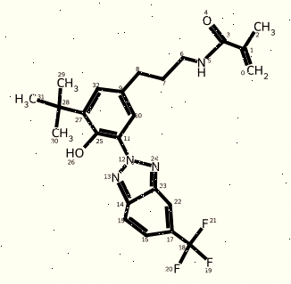 C=C(C)C(=O)NCCCc1cc(-n2nc3ccc(C(F)(F)F)cc3n2)c(O)c(C(C)(C)C)c1